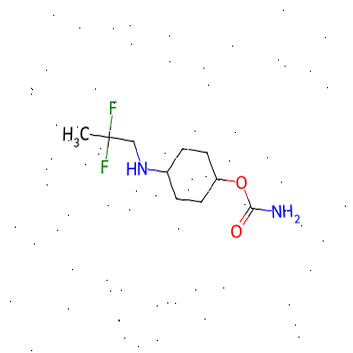 CC(F)(F)CNC1CCC(OC(N)=O)CC1